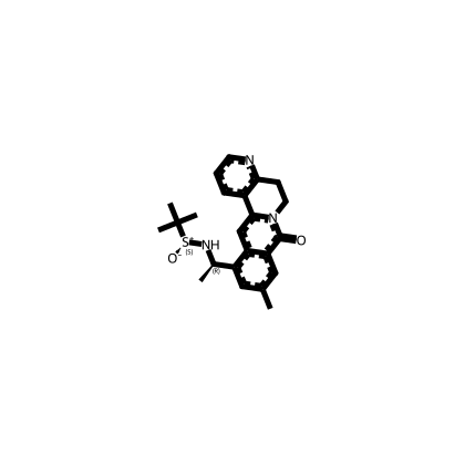 Cc1cc([C@@H](C)N[S@+]([O-])C(C)(C)C)c2cc3n(c(=O)c2c1)CCc1ncccc1-3